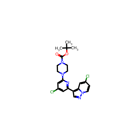 CC(C)(C)OC(=O)N1CCN(c2cc(Cl)cc(-c3cnn4ccc(Cl)cc34)n2)CC1